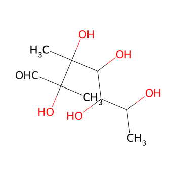 CC(O)C(O)C(O)C(C)(O)C(C)(O)C=O